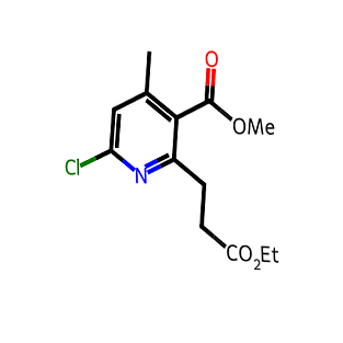 CCOC(=O)CCc1nc(Cl)cc(C)c1C(=O)OC